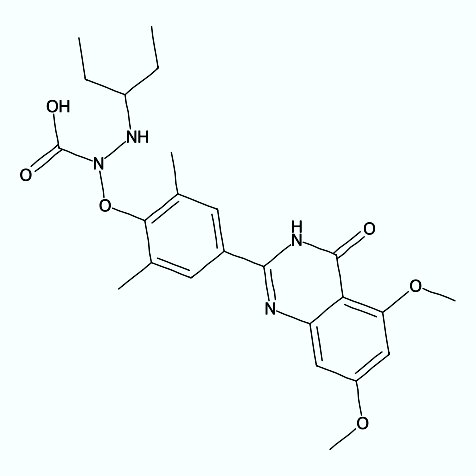 CCC(CC)NN(Oc1c(C)cc(-c2nc3cc(OC)cc(OC)c3c(=O)[nH]2)cc1C)C(=O)O